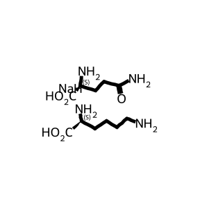 NC(=O)CC[C@H](N)C(=O)O.NCCCC[C@H](N)C(=O)O.[NaH]